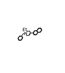 CCC1CC(c2ccc3ccccc3c2)=CCN1Cc1ccccc1